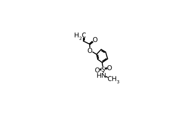 C=CC(=O)Oc1cccc(S(=O)(=O)NC)c1